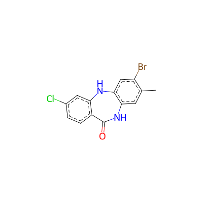 Cc1cc2c(cc1Br)Nc1cc(Cl)ccc1C(=O)N2